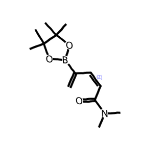 C=C(/C=C\C(=O)N(C)C)B1OC(C)(C)C(C)(C)O1